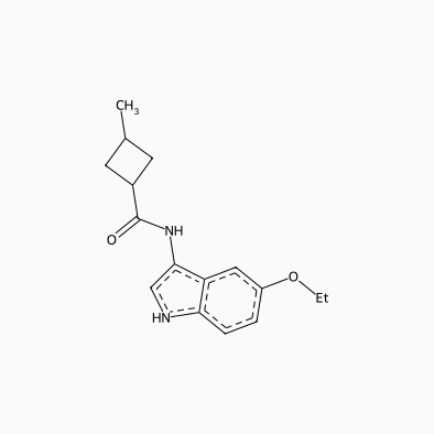 CCOc1ccc2[nH]cc(NC(=O)C3CC(C)C3)c2c1